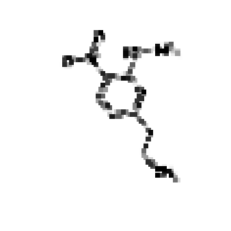 C=CCc1ccc([N+](=O)[O-])c(NN)c1